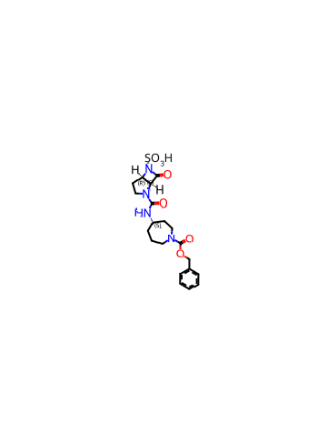 O=C(OCc1ccccc1)N1CCC[C@H](NC(=O)N2CC[C@@H]3[C@H]2C(=O)N3S(=O)(=O)O)CC1